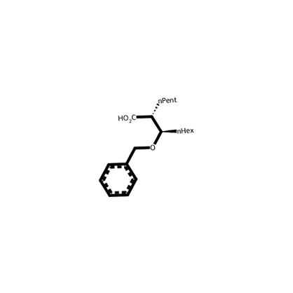 CCCCCC[C@@H](OCc1ccccc1)[C@@H](CCCCC)C(=O)O